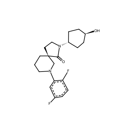 O=C1N([C@H]2CC[C@H](O)CC2)CC[C@@]12CCCN(c1cc(F)ccc1F)C2